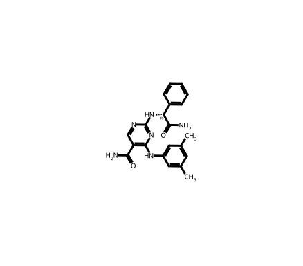 Cc1cc(C)cc(Nc2nc(N[C@@H](C(N)=O)c3ccccc3)ncc2C(N)=O)c1